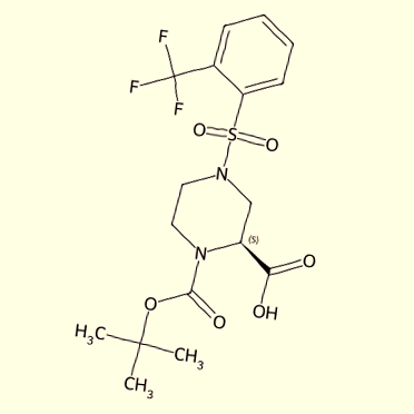 CC(C)(C)OC(=O)N1CCN(S(=O)(=O)c2ccccc2C(F)(F)F)C[C@H]1C(=O)O